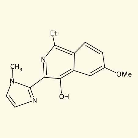 CCc1nc(-c2nccn2C)c(O)c2cc(OC)ccc12